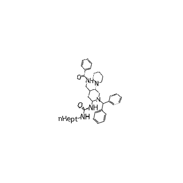 CCCCCCCNC(=O)NC1CC(CNC(=O)c2ccccc2)C(N2CCCCC2)CN1C(c1ccccc1)c1ccccc1